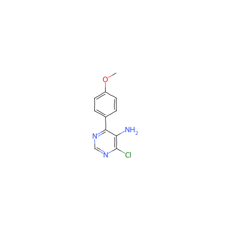 COc1ccc(-c2ncnc(Cl)c2N)cc1